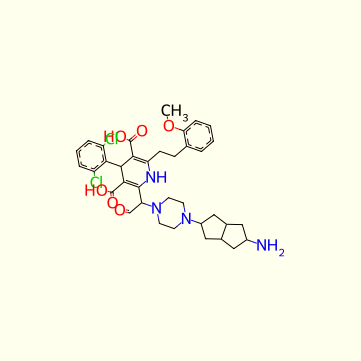 COc1ccccc1CCC1=C(C(=O)O)C(c2c(Cl)cccc2Cl)C(C(=O)O)=C(C(C=O)N2CCN(C3CC4CC(N)CC4C3)CC2)N1